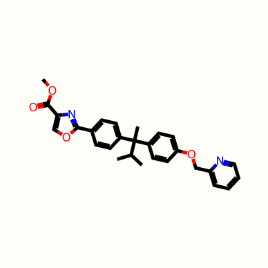 COC(=O)c1coc(-c2ccc(C(C)(c3ccc(OCc4ccccn4)cc3)C(C)C)cc2)n1